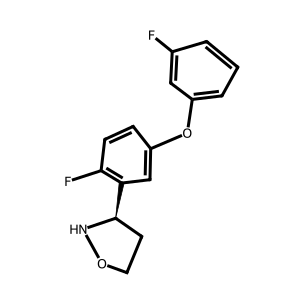 Fc1cccc(Oc2ccc(F)c([C@H]3CCON3)c2)c1